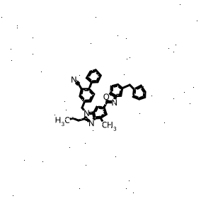 CCCc1nc2c(C)cc(-c3nc4cc(Cc5ccccc5)ccc4o3)cc2n1Cc1ccc(-c2ccccc2)c(C#N)c1